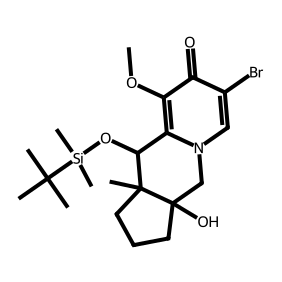 COc1c2n(cc(Br)c1=O)CC1(O)CCCC1(C)C2O[Si](C)(C)C(C)(C)C